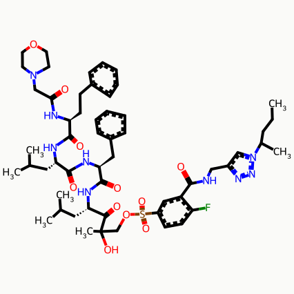 CCCC(C)n1cc(CNC(=O)c2cc(S(=O)(=O)OCC(C)(O)C(=O)[C@H](CC(C)C)NC(=O)[C@H](Cc3ccccc3)NC(=O)[C@H](CC(C)C)NC(=O)[C@H](CCc3ccccc3)NC(=O)CN3CCOCC3)ccc2F)nn1